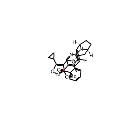 COC(=O)c1cnc(N2[C@@H]3CC[C@H]2C[C@H](OCc2c(-c4ccccc4OC(F)F)noc2C2CC2)C3)cc1C